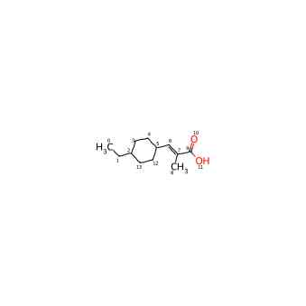 CCC1CCC(/C=C(\C)C(=O)O)CC1